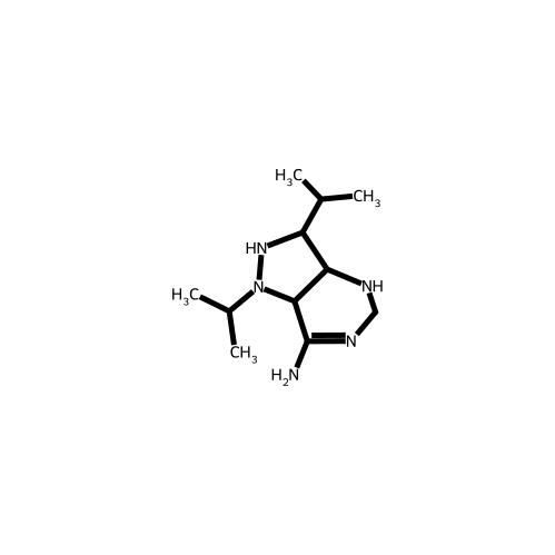 CC(C)C1NN(C(C)C)C2C(N)=NCNC12